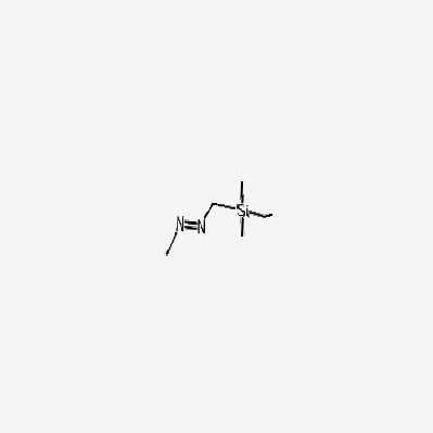 CN=NC[Si](C)(C)C